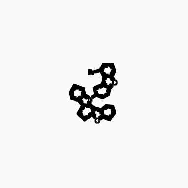 Brc1cccc2oc3ccc(-n4c5ccccc5c5ccc6oc7ccccc7c6c54)cc3c12